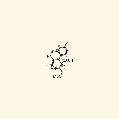 COCC1NC(C)=C(C#N)C(c2ccc(Br)cc2F)C1(C)C(=O)O